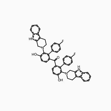 O=C(c1ccc(O)c(N2CCc3c([nH]c4ccccc34)C2)c1-c1ccc(F)cc1)c1ccc(O)c(N2CCc3c([nH]c4ccccc34)C2)c1-c1ccc(F)cc1